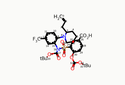 C=CCC1CCCCN1c1ccc(C(F)(F)F)cc1N(C(=O)OC(C)(C)C)S(=O)(=O)c1cc(C(=O)O)ccc1OC(=O)OC(C)(C)C